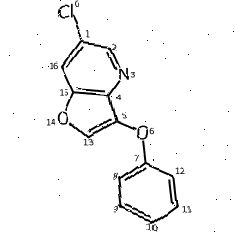 Clc1cnc2c(Oc3ccccc3)coc2c1